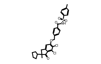 Cc1ccc(S(=O)(=O)NC(=O)c2ccc(COc3cc4c(c(Cl)c3Cl)C(=O)C(C)(C3CCCC3)C4)cc2)cc1